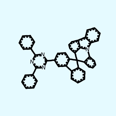 c1ccc(-c2nc(-c3ccccc3)nc(-c3ccc4c(c3)-c3ccccc3C43c4ccccc4-n4c5ccccc5c5cccc3c54)n2)cc1